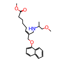 COCC(C)NCC(=CCCCCC(=O)OC)COc1cccc2ccccc12